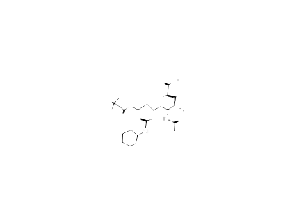 CC(=O)N[C@H]1[C@H]([C@H](OC(=O)NC2CCCCC2)[C@H](O)COC(=O)C(F)(F)F)OC(C(=O)O)=C[C@@H]1N